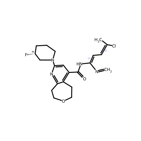 C=N/C(=C\C=C(/C)Cl)NC(=O)c1cc(N2CCC[C@@H](F)C2)nc2c1CCOCC2